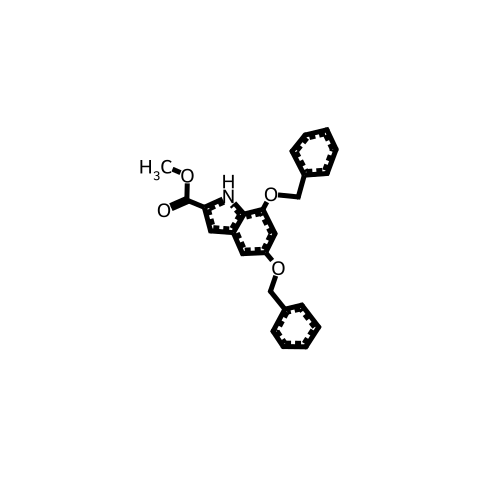 COC(=O)c1cc2cc(OCc3ccccc3)cc(OCc3ccccc3)c2[nH]1